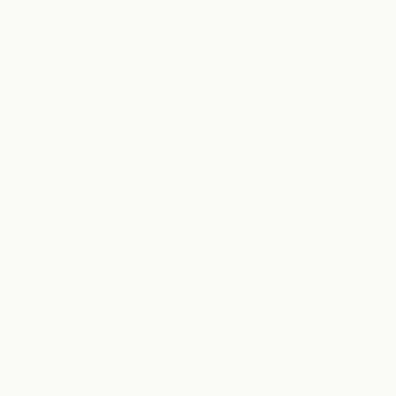 [CH2]c1ccc(C[C](C)C)cc1